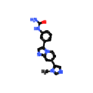 Cn1cncc1-c1ccn2c(-c3cccc(NC(N)=O)c3)cnc2c1